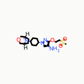 CS(=O)(=O)CCOc1nn([C@H]2CC[C@H](N3[C@@H]4CC[C@H]3COC4)CC2)cc1N